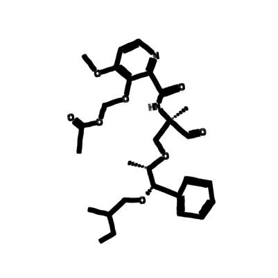 CCC(C)CO[C@@H](c1ccccc1)[C@H](C)OC[C@](C)(C=O)NC(=O)c1nccc(OC)c1OCOC(C)=O